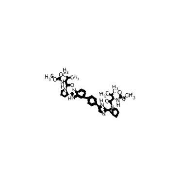 COC(=O)N[C@H](C(=O)N1C2CCC(C2)C1c1ncc(-c2ccc(-c3ccc4nc([C@@H]5CCCN5C(=O)[C@@H](NC(=O)OC)C(C)C)[nH]c4c3)cc2)[nH]1)C(C)C